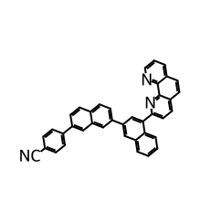 N#Cc1ccc(-c2ccc3ccc(-c4cc(-c5ccc6ccc7cccnc7c6n5)c5ccccc5c4)cc3c2)cc1